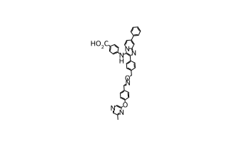 Cc1cncc(Oc2ccc(C=NOCc3ccc(-c4nc5cc(-c6ccccc6)ccn5c4Nc4ccc(C(=O)O)cc4)cc3)cc2)n1